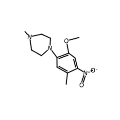 COc1cc([N+](=O)[O-])c(C)cc1N1CCN(C)CC1